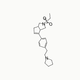 CCS(=O)(=O)N1CC2CC=C(c3ccc(CCN4CCCC4)cc3)C2C1